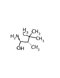 C[C@H]([C@H](N)O)C(C)(C)C